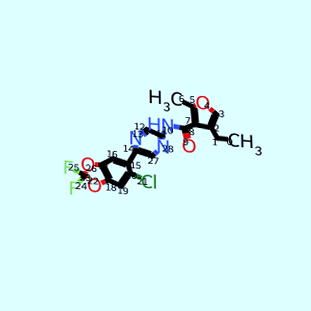 CCc1coc(C)c1C(=O)Nc1cnc(-c2cc3c(cc2Cl)OC(F)(F)O3)cn1